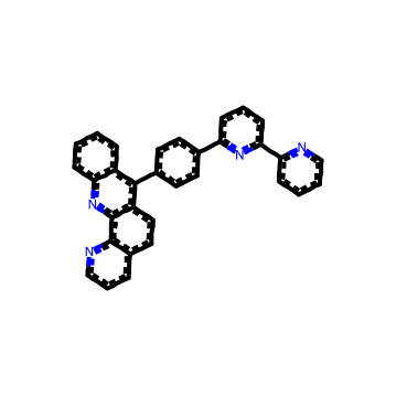 c1ccc(-c2cccc(-c3ccc(-c4c5ccccc5nc5c4ccc4cccnc45)cc3)n2)nc1